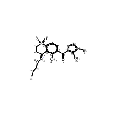 CCn1ncc(C(=O)c2ccc3c(c2C)/C(=N/OCCF)CCS3(=O)=O)c1O